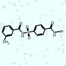 Cc1cccc(C(=O)NS(=O)(=O)c2ccc(C(=O)NC(C)C)cc2)c1